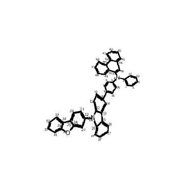 c1ccc(N(c2ccc(-c3ccc4c(c3)c3ccccc3n4-c3ccc4c(c3)oc3ccccc34)cc2)c2cc3ccccc3c3ccccc23)cc1